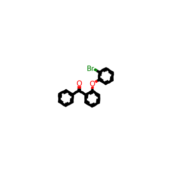 O=C(c1ccccc1)c1ccccc1Oc1ccccc1Br